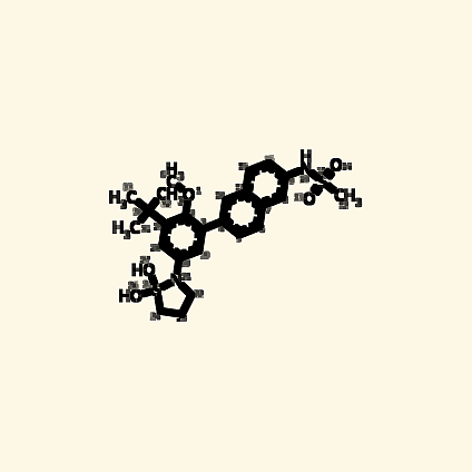 COc1c(-c2ccc3cc(NS(C)(=O)=O)ccc3c2)cc(N2CCCS2(O)O)cc1C(C)(C)C